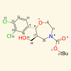 CC(C)(C)OC(=O)N1CCO[C@@H](c2ccc(Cl)c(Cl)c2)[C@H](CO)C1